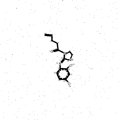 C=CCCC(=O)N1CCN/C1=N\c1ccc(Cl)cc1Cl